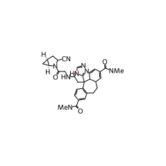 CNC(=O)C1=CC2CCc3cc(C(=O)NC)ccc3C(C[C@H](C)NCC(=O)N3C(C#N)C[C@@H]4C[C@@H]43)(c3nnc[nH]3)C2C=C1